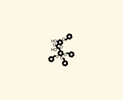 O=c1c(O)c(-c2cc(OCc3ccccc3)c(OCc3ccccc3)c(OCc3ccccc3)c2)oc2cc(OCc3ccccc3)cc(O)c12